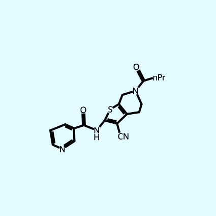 CCCC(=O)N1CCc2c(sc(NC(=O)c3cccnc3)c2C#N)C1